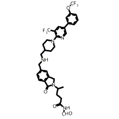 CC(CCC(=O)NC=O)N1Cc2cc(CNCC3CCN(c4ncc(-c5cccc(OC(F)(F)F)c5)cc4C(F)(F)F)CC3)ccc2C1=O